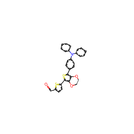 O=Cc1ccc(-c2sc(-c3ccc(N(c4ccccc4)c4ccccc4)cc3)c3c2OCCO3)s1